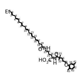 CCC=CCC=CCC=CCC=CCC=CCC=CCCC(=O)NCCCCC(NC(=O)C(C)(C)CCCOc1cc(C)ccc1C)C(=O)O